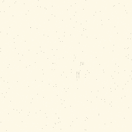 CN(C)C1NC(=O)c2cc(S(=O)(=O)c3ccccc3)ccc2N1